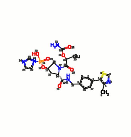 Cc1ncsc1-c1ccc(CNC(=O)[C@@H]2C[C@@H](OP(=O)(O)n3ccnc3)CN2C(=O)C(OC(N)=O)C(C)(C)C)cc1